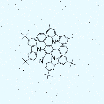 Cc1ccc2c(c1)c1cc(C)ccc1n2-c1c(-c2ccccc2)c(-n2c3ccc(C(C)(C)C)cc3c3cc(C(C)(C)C)ccc32)c(C#N)c(-n2c3ccc(C(C)(C)C)cc3c3cc(C(C)(C)C)ccc32)c1-c1ccccc1